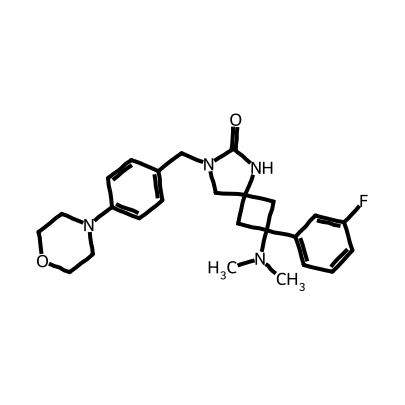 CN(C)C1(c2cccc(F)c2)CC2(CN(Cc3ccc(N4CCOCC4)cc3)C(=O)N2)C1